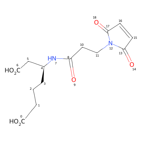 O=C(O)CCC[C@@H](CC(=O)O)NC(=O)CCN1C(=O)C=CC1=O